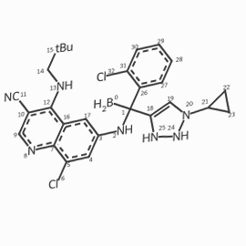 BC(Nc1cc(Cl)c2ncc(C#N)c(NCC(C)(C)C)c2c1)(C1=CN(C2CC2)NN1)c1ccccc1Cl